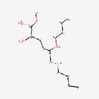 CCCCOCC(CC[C@@H](O)[C@H](O)OC)OCCCC